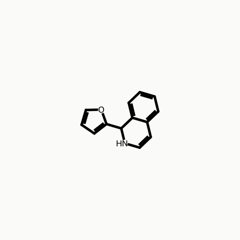 C1=Cc2ccccc2C(c2ccco2)N1